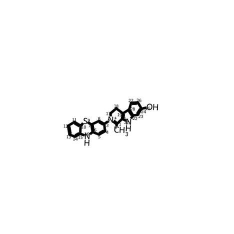 CC1=[N+](c2ccc3c(c2)Sc2ccccc2N3)CCc2c1[nH]c1cc(O)ccc21